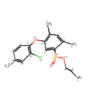 Cc1cc([N+](=O)[O-])c([PH](=O)OCCC(C)(C)C)cc1Oc1ccc(C(F)(F)F)cc1Cl